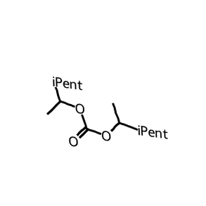 CCCC(C)C(C)OC(=O)OC(C)C(C)CCC